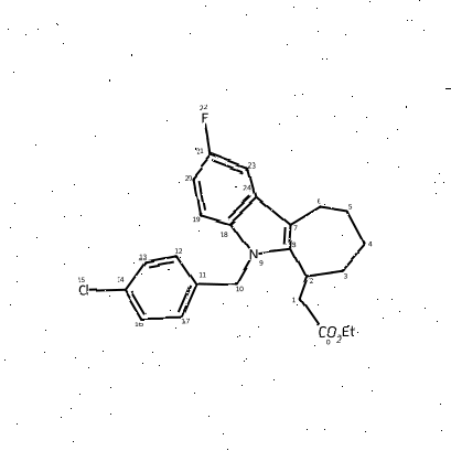 CCOC(=O)CC1CCCCc2c1n(Cc1ccc(Cl)cc1)c1ccc(F)cc21